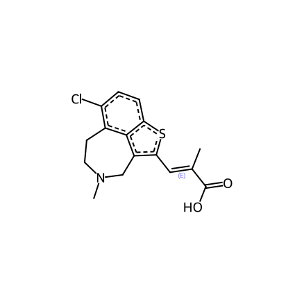 C/C(=C\c1sc2ccc(Cl)c3c2c1CN(C)CC3)C(=O)O